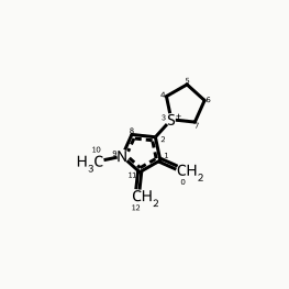 C=c1c([S+]2CCCC2)cn(C)c1=C